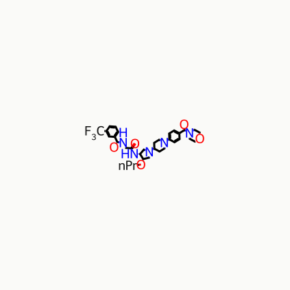 CCCO[C@@H]1CN(C2CCN(c3ccc(C(=O)N4CCOCC4)cc3)CC2)C[C@H]1NC(=O)CNC(=O)c1cccc(C(F)(F)F)c1